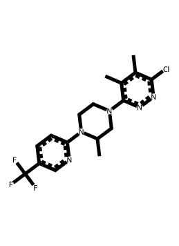 Cc1c(Cl)nnc(N2CCN(c3ccc(C(F)(F)F)cn3)C(C)C2)c1C